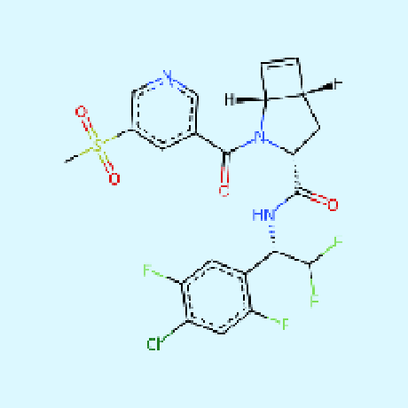 CS(=O)(=O)c1cncc(C(=O)N2[C@@H](C(=O)N[C@@H](c3cc(F)c(Cl)cc3F)C(F)F)C[C@H]3C=C[C@H]32)c1